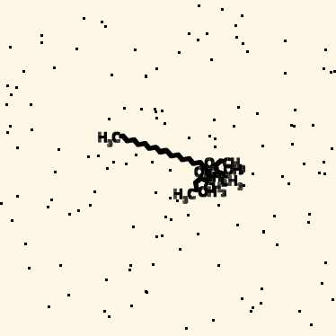 CCCCCCCCC=CCCCCCCC(OC(CC)CC(C)O)(OC(CC)CC(C)O)C(N)=O